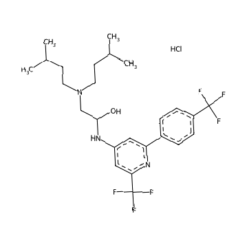 CC(C)CCN(CCC(C)C)CC(O)Nc1cc(-c2ccc(C(F)(F)F)cc2)nc(C(F)(F)F)c1.Cl